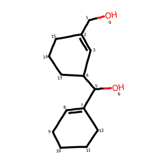 OCC1=CC(C(O)C2=CCCCC2)CCC1